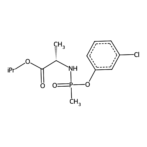 CC(C)OC(=O)[C@H](C)NP(C)(=O)Oc1cccc(Cl)c1